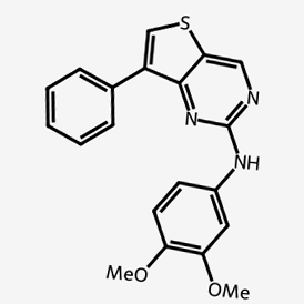 COc1ccc(Nc2ncc3scc(-c4ccccc4)c3n2)cc1OC